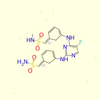 CNS(=O)(=O)/C=C1\C=CC=C(Nc2nc(NC3=CC=C/C(=C\S(N)(=O)=O)C3)ncc2F)C1